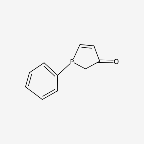 O=C1C=CP(c2ccccc2)C1